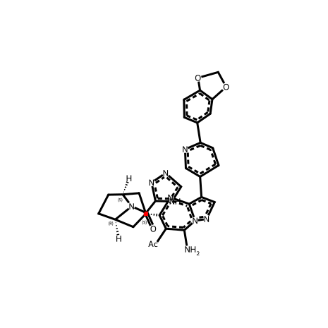 CC(=O)c1c([C@@H]2C[C@H]3CC[C@@H](C2)N3C(=O)c2nnc[nH]2)nc2c(-c3ccc(-c4ccc5c(c4)OCO5)nc3)cnn2c1N